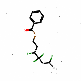 O=C(SCCC(F)C(F)(F)CC(F)C(F)(F)F)c1ccccc1